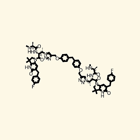 CN[C@@H](C)C(=O)N[C@H](C(=O)N1CC(C)(C)c2[nH]c(=O)c(Cc3ccc(F)cc3)cc21)[C@H](C)n1cc(COc2ccc(Cc3ccc(OCc4cn([C@@H](C)[C@H](NC(=O)[C@H](C)NC)C(=O)N5CC(C)(C)c6[nH]c(=O)c(Cc7ccc(F)cc7)cc65)nn4)cc3)cc2)nn1